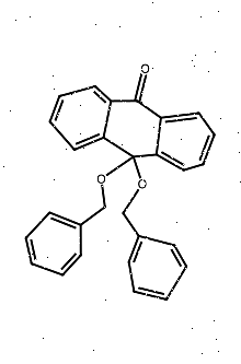 O=C1c2ccccc2C(OCc2ccccc2)(OCc2ccccc2)c2ccccc21